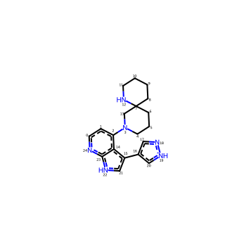 c1cc(N2CCCC3(CCCCN3)C2)c2c(-c3cn[nH]c3)c[nH]c2n1